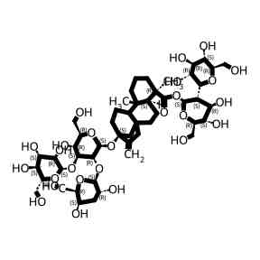 C=C1CC23CC[C@@H]4[C@](C)(C(=O)O[C@@H]5O[C@H](CO)[C@@H](O)[C@H](O)[C@H]5C5O[C@H](CO)[C@@H](O)[C@H](O)[C@H]5O)CCC[C@@]4(C)C2CC[C@]1(O[C@@H]1O[C@H](CO)[C@@H](O)[C@H](O[C@@H]2O[C@H](CO)[C@@H](O)[C@H](O)[C@H]2O)[C@H]1O[C@@H]1O[C@H](CO)[C@@H](O)C[C@H]1O)C3